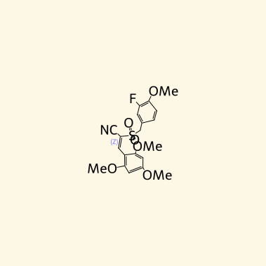 COc1cc(OC)c(/C=C(/C#N)S(=O)(=O)Cc2ccc(OC)c(F)c2)c(OC)c1